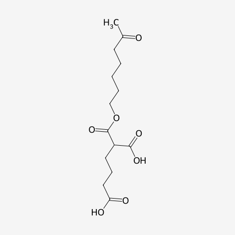 CC(=O)CCCCCOC(=O)C(CCCC(=O)O)C(=O)O